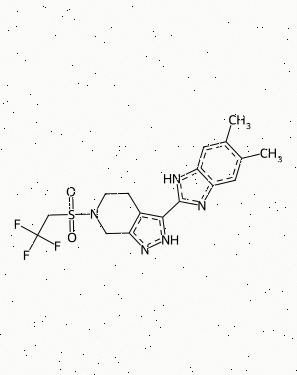 Cc1cc2nc(-c3[nH]nc4c3CCN(S(=O)(=O)CC(F)(F)F)C4)[nH]c2cc1C